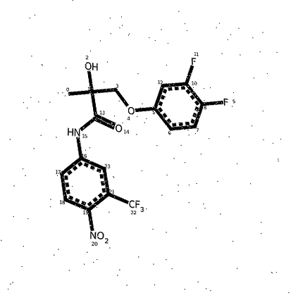 CC(O)(COc1ccc(F)c(F)c1)C(=O)Nc1ccc([N+](=O)[O-])c(C(F)(F)F)c1